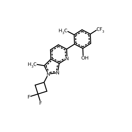 Cc1cc(C(F)(F)F)cc(O)c1-c1ccc2c(C)n(C3CC(F)(F)C3)nc2n1